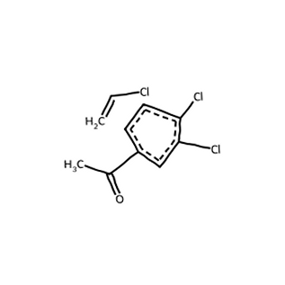 C=CCl.CC(=O)c1ccc(Cl)c(Cl)c1